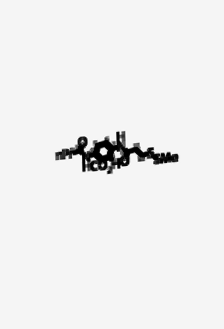 CCCC(=O)Nc1ccc(NC(=O)CCSSC)c(C(=O)O)c1